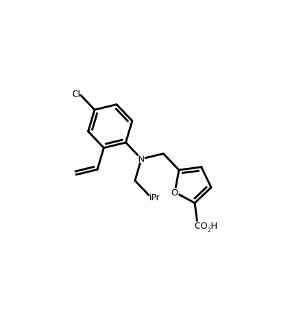 C=Cc1cc(Cl)ccc1N(Cc1ccc(C(=O)O)o1)CC(C)C